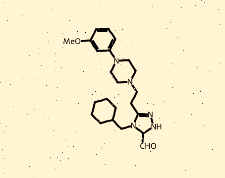 COc1cccc(N2CCN(CCC3=NNC(C=O)N3CC3CCCCC3)CC2)c1